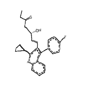 CCC(=O)C[C@H](O)/C=C/c1c(C2CC2)nc2ccccc2c1-c1ccc(F)cc1